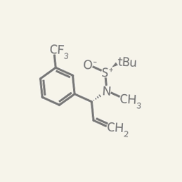 C=C[C@H](c1cccc(C(F)(F)F)c1)N(C)[S@@+]([O-])C(C)(C)C